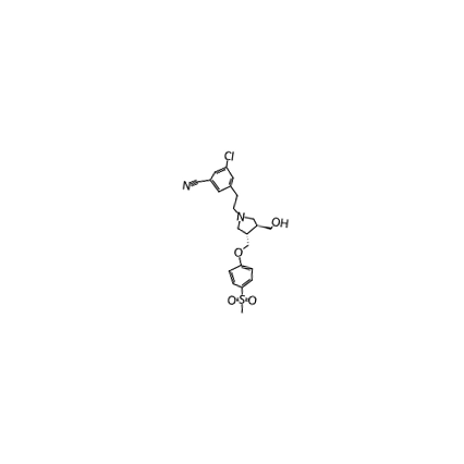 CS(=O)(=O)c1ccc(OC[C@@H]2CN(CCc3cc(Cl)cc(C#N)c3)C[C@H]2CO)cc1